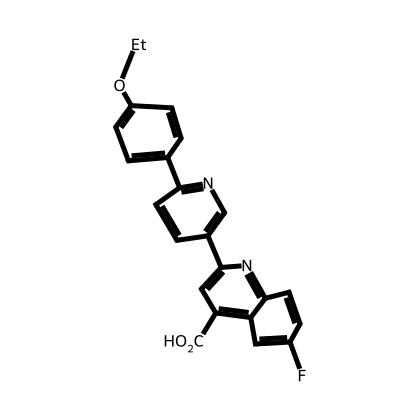 CCOc1ccc(-c2ccc(-c3cc(C(=O)O)c4cc(F)ccc4n3)cn2)cc1